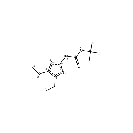 CCc1nc(NC(=O)OC(C)(C)C)sc1SC